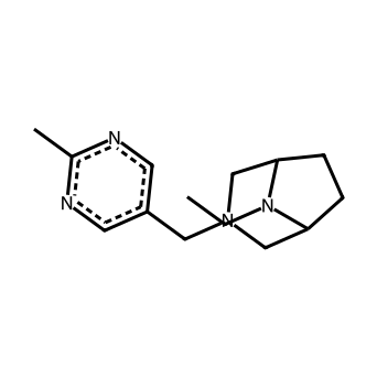 CCN1C2CCC1CN(Cc1cnc(C)nc1)C2